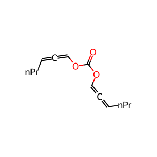 CCCC=C=COC(=O)OC=C=CCCC